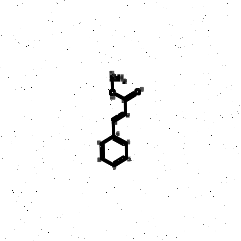 O=C(C=Cc1ccccc1)[O][SbH2]